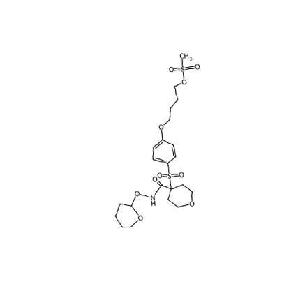 CS(=O)(=O)OCCCCOc1ccc(S(=O)(=O)C2(C(=O)NOC3CCCCO3)CCOCC2)cc1